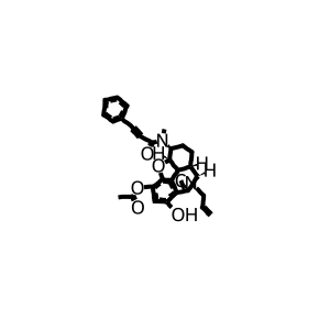 C=CCN1CC[C@]23c4c5c(O)cc(OC(C)=O)c4O[C@H]2[C@@H](N(C)C(=O)C#Cc2ccccc2)CC[C@H]3[C@H]1C5